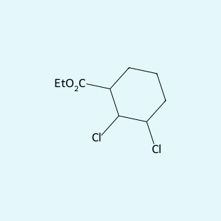 CCOC(=O)C1CCCC(Cl)C1Cl